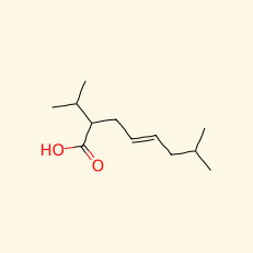 CC(C)CC=CCC(C(=O)O)C(C)C